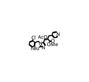 CCCCc1ncc(/C(OC(C)=O)=C(/Cc2ccncc2)C(=O)OC)n1Cc1ccccc1Cl